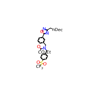 CCCCCCCCCCCc1noc(-c2cccc(CN(Cc3ccc(S(=O)(=O)C(F)(F)F)cc3)C(=O)C(=O)OCC)c2)n1